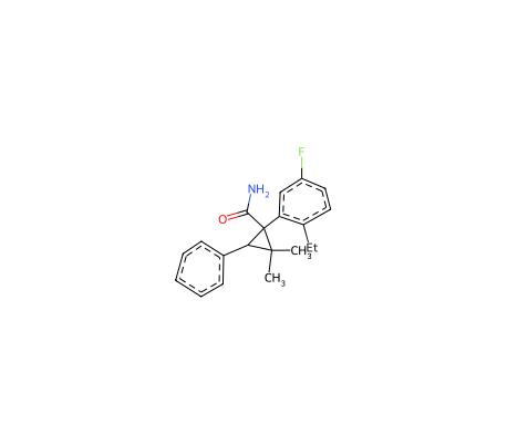 CCc1ccc(F)cc1C1(C(N)=O)C(c2ccccc2)C1(C)C